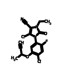 C#CC(C)Oc1cc(-n2c(Cl)c(C#N)n(CC)c2=O)c(F)cc1Cl